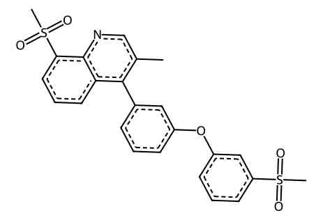 Cc1cnc2c(S(C)(=O)=O)cccc2c1-c1cccc(Oc2cccc(S(C)(=O)=O)c2)c1